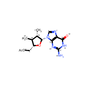 CC(=O)OC[C@H]1O[C@@H](n2cnc3c(=O)[nH]c(N)nc32)[C@@H](C)C1C